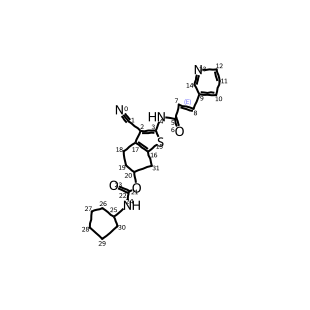 N#Cc1c(NC(=O)/C=C/c2cccnc2)sc2c1CCC(OC(=O)NC1CCCCC1)C2